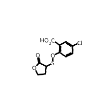 O=C(O)c1cc(Cl)ccc1OSC1CCOC1=O